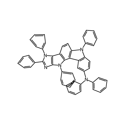 c1ccc(-c2nc3c(c4ccc5c(c6cc(N(c7ccccc7)c7ccccc7)ccc6n5-c5ccccc5)c4n3-c3ccccc3)n2-c2ccccc2)cc1